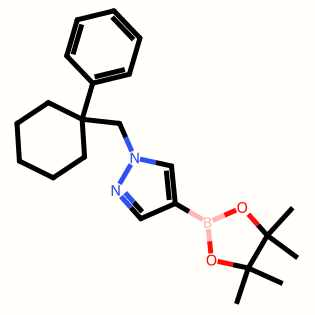 CC1(C)OB(c2cnn(CC3(c4ccccc4)CCCCC3)c2)OC1(C)C